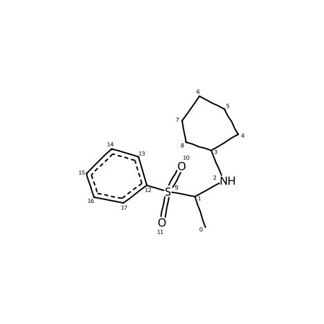 CC(NC1CCCCC1)S(=O)(=O)c1ccccc1